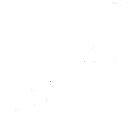 CC(C)(C)OC(=O)NCCCOCC(C)(C)OCCCN